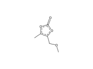 COCc1oc(=O)oc1C